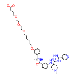 COC(=O)CCCOCCOCCOCCCCCCOc1cccc([C@@H](C)NC(=O)c2cccc(NC3(C(=N)NC(=N)c4ccncc4)CCN(C)CC3)c2)c1